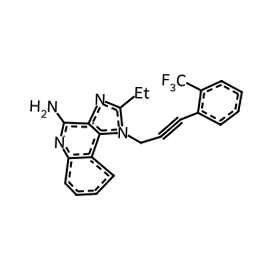 CCc1nc2c(N)nc3ccccc3c2n1CC#Cc1ccccc1C(F)(F)F